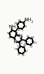 Nc1ccc(-c2c(N)ccc3nc(-c4ccccc4)c(-c4ccccc4)nc23)cc1